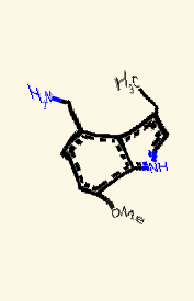 COc1ccc(CN)c2c(C)c[nH]c12